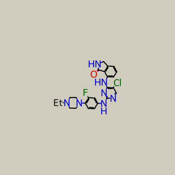 CCN1CCN(c2ccc(Nc3ncc(Cl)c(Nc4cccc5c4C(=O)NC5)n3)cc2F)CC1